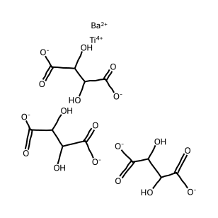 O=C([O-])C(O)C(O)C(=O)[O-].O=C([O-])C(O)C(O)C(=O)[O-].O=C([O-])C(O)C(O)C(=O)[O-].[Ba+2].[Ti+4]